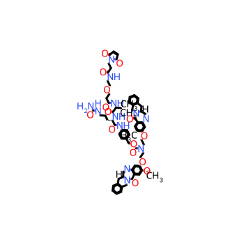 COc1cc2c(cc1OCCN(CCOc1cc3c(cc1C)C(=O)N1Cc4ccccc4C[C@H]1C=N3)C(=O)OCc1ccc(NC(=O)[C@H](CCCNC(N)=O)NC(=O)[C@@H](NC(=O)CCOCCNC(=O)CCN3C(=O)C=CC3=O)C(C)C)cc1)N=C[C@@H]1Cc3ccccc3CN1C2=O